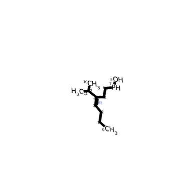 CCC/C=C(\CCPO)C(C)C